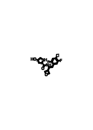 O=C(NC(=Cc1cc(F)c(Cl)cc1F)C1COC1)[C@H]1C[C@H](O)CN1